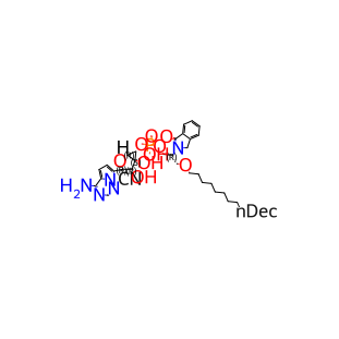 CCCCCCCCCCCCCCCCCCOC[C@H](COP(=O)(O)OC1[C@H]2O[C@@](C#N)(c3ccc4c(N)ncnn34)[C@H](O)[C@@]12O)N1Cc2ccccc2C1=O